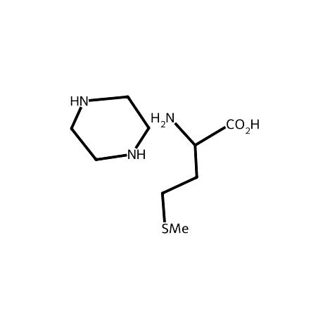 C1CNCCN1.CSCCC(N)C(=O)O